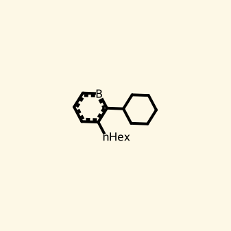 CCCCCCc1cccbc1C1CCCCC1